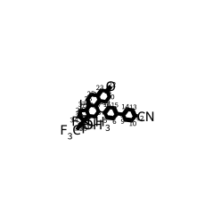 C[C@]12C[C@H](c3ccc(-c4ccc(C#N)cc4)cc3)C3=C4CCC(=O)C=C4CC[C@H]3[C@@H]1CC[C@@]2(O)C(F)(F)C(F)(F)F